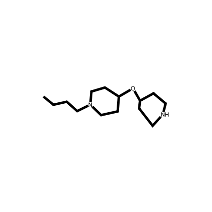 CCCCN1CCC(OC2CCNCC2)CC1